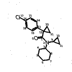 O=C(N(C1CCCCC1)C1CC1)C1(c2ccc(Cl)cc2)CC1